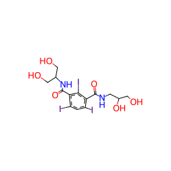 O=C(NCC(O)CO)c1c(I)cc(I)c(C(=O)NC(CO)CO)c1I